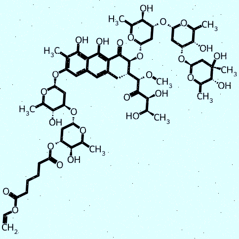 C=COC(=O)CCCCC(=O)O[C@@H]1C[C@H](O[C@@H]2C[C@H](Oc3cc4cc5c(c(O)c4c(O)c3C)C(=O)[C@@H](O[C@H]3C[C@@H](O[C@H]4C[C@@H](O[C@H]6C[C@](C)(O)[C@H](O)C(C)O6)[C@@H](O)C(C)O4)[C@H](O)C(C)O3)[C@H]([C@H](OC)C(=O)[C@@H](O)[C@@H](C)O)C5)OC(C)[C@H]2O)OC(C)[C@H]1O